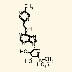 Cc1cnc(CNc2ncnc3c2ncn3[C@@H]2O[C@@H](N(C)S(=O)(=O)O)[C@@H](O)[C@H]2O)cn1